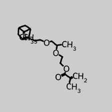 C=C(C)C(=O)OCCOC(C)COCCC1=CCC2CC1C2(C)C